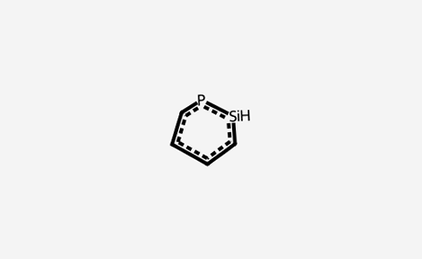 c1ccp[siH]c1